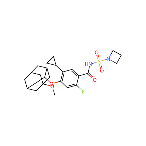 COC12CC3CC(C1)C(Oc1cc(F)c(C(=O)NS(=O)(=O)N4CCC4)cc1C1CC1)C(C3)C2